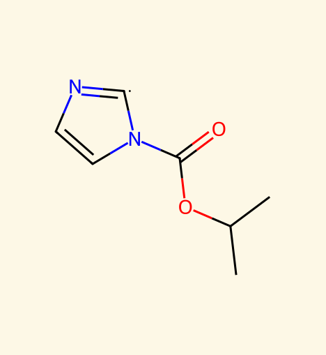 CC(C)OC(=O)n1[c]ncc1